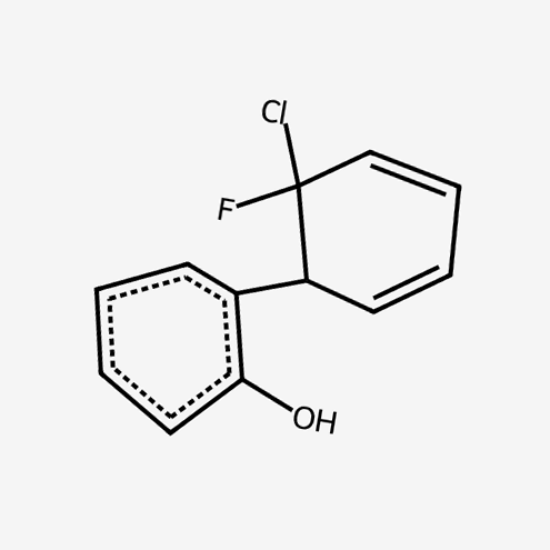 Oc1ccccc1C1C=CC=CC1(F)Cl